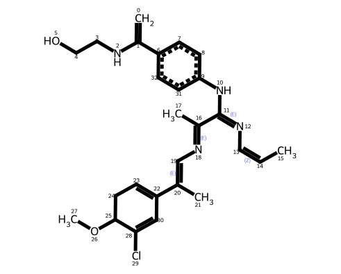 C=C(NCCO)c1ccc(NC(=N/C=C\C)/C(C)=N/C=C(\C)C2=CCC(OC)C(Cl)=C2)cc1